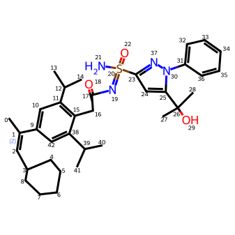 C/C(=C/C1CCCCC1)c1cc(C(C)C)c(CC(=O)N=S(N)(=O)c2cc(C(C)(C)O)n(-c3ccccc3)n2)c(C(C)C)c1